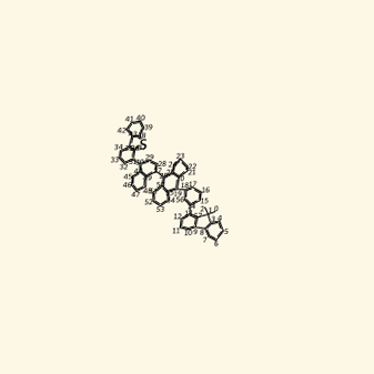 CC1(C)c2ccccc2-c2cccc(-c3cccc(-c4c5ccccc5c(-c5ccc(-c6cccc7c6sc6ccccc67)c6ccccc56)c5ccccc45)c3)c21